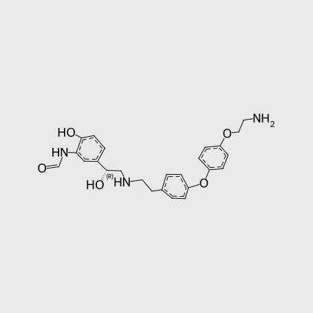 NCCOc1ccc(Oc2ccc(CCNC[C@H](O)c3ccc(O)c(NC=O)c3)cc2)cc1